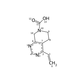 C=Cc1ncnc2c1CCN(C(=O)O)C2